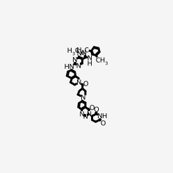 Cc1cccc(C)c1Nc1nn(C)c2nc(Nc3ccc4c(c3)CN(C(=O)C3CCN(c5ccc6nnn(C7CCC(=O)NC7=O)c(=O)c6c5)CC3)CC4)ncc12